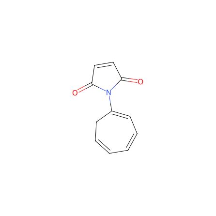 O=C1C=CC(=O)N1C1=CC=CC=CC1